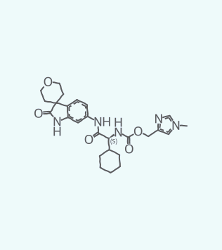 Cn1cnc(COC(=O)N[C@H](C(=O)Nc2ccc3c(c2)NC(=O)C32CCOCC2)C2CCCCC2)c1